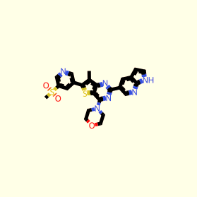 Cc1c(-c2cncc(S(C)(=O)=O)c2)sc2c(N3CCOCC3)nc(-c3cnc4[nH]ccc4c3)nc12